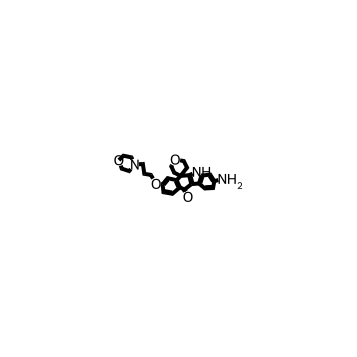 Nc1ccc2c3c([nH]c2c1)C1(CCOCC1)c1cc(OCCCN2CCOCC2)ccc1C3=O